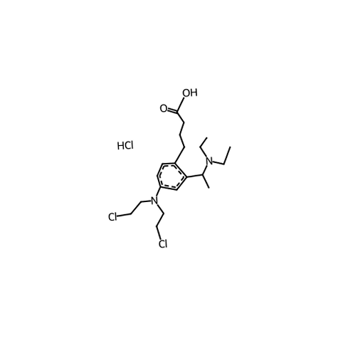 CCN(CC)C(C)c1cc(N(CCCl)CCCl)ccc1CCCC(=O)O.Cl